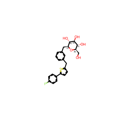 OC[C@H]1O[C@@H](Cc2cccc(Cc3ccc(-c4ccc(F)cc4)s3)c2)[C@H](O)[C@@H](O)[C@@H]1O